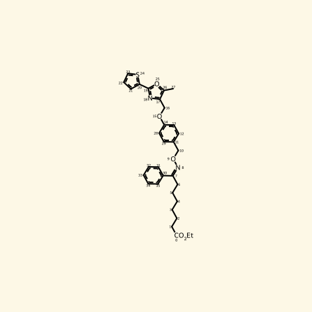 CCOC(=O)CCCCCCC(=NOCc1ccc(OCc2nc(-c3cccs3)oc2C)cc1)c1ccccc1